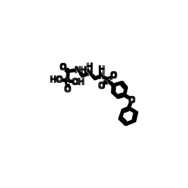 O=C(NCNCNS(=O)(=O)c1ccc(Oc2ccccc2)cc1)P(=O)(O)O